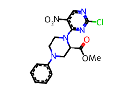 COC(=O)[C@H]1CN(c2ccccc2)CCN1c1nc(Cl)ncc1[N+](=O)[O-]